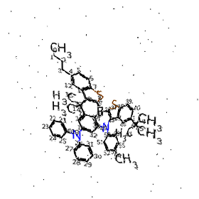 CCCCc1ccc2sc3c(c2c1)C(C)(C)c1cc(N(c2ccccc2)c2ccccc2)cc2c1B3c1sc3ccc(C(C)(C)C)cc3c1N2c1ccc(C)cc1